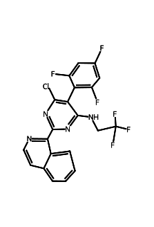 Fc1cc(F)c(-c2c(Cl)nc(-c3nccc4ccccc34)nc2NCC(F)(F)F)c(F)c1